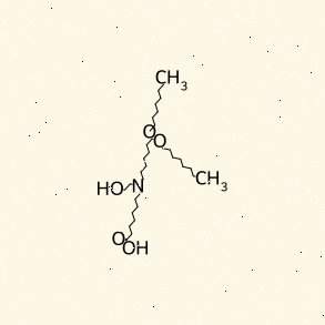 CCCCCCCCOC(CCCCCCN(CCO)CCCCCCCC(=O)O)OCCCCCCCC